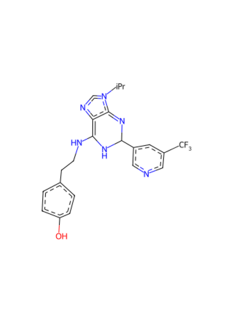 CC(C)n1cnc2c1=NC(c1cncc(C(F)(F)F)c1)NC=2NCCc1ccc(O)cc1